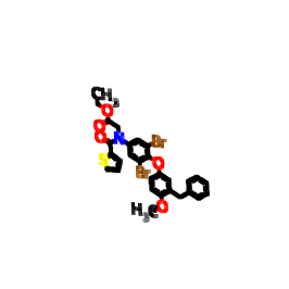 CCOC(=O)CN(C(=O)c1cccs1)c1cc(Br)c(Oc2ccc(OC)c(Cc3ccccc3)c2)c(Br)c1